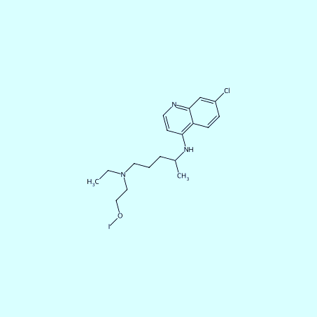 CCN(CCCC(C)Nc1ccnc2cc(Cl)ccc12)CCOI